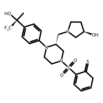 C[C@@](O)(c1ccc(N2CCN(S(=O)(=O)C3=CC=CCC3=S)C[C@H]2CN2CC[C@@H](O)C2)cc1)C(F)(F)F